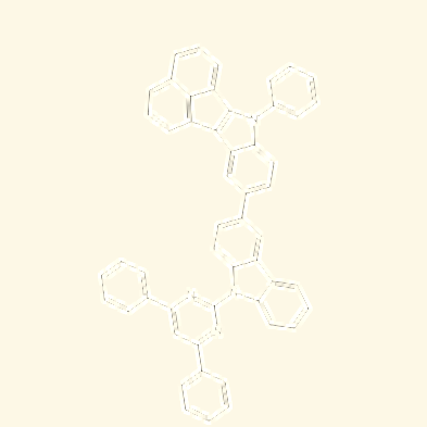 c1ccc(-c2cc(-c3ccccc3)nc(-n3c4ccccc4c4cc(-c5ccc6c(c5)c5c(n6-c6ccccc6)-c6cccc7cccc-5c67)ccc43)n2)cc1